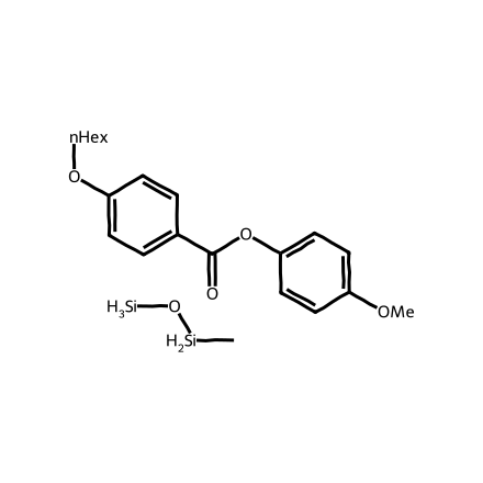 CCCCCCOc1ccc(C(=O)Oc2ccc(OC)cc2)cc1.C[SiH2]O[SiH3]